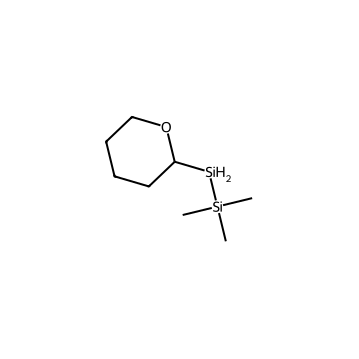 C[Si](C)(C)[SiH2]C1CCCCO1